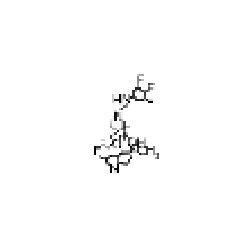 COc1ccc2ncc(CF)c([C@H](F)CCC3(C(=O)NO)CCN(CCNc4cc(F)c(F)c(F)c4)CC3)c2c1